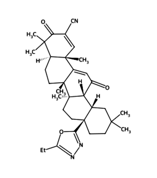 CCc1nnc([C@]23CCC(C)(C)C[C@H]2[C@H]2C(=O)C=C4[C@@]5(C)C=C(C#N)C(=O)C(C)(C)[C@@H]5CC[C@@]4(C)[C@]2(C)CC3)o1